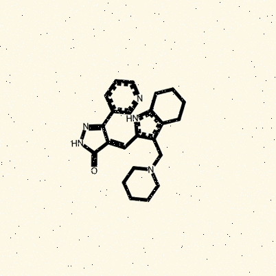 O=C1NN=C(c2cccnc2)/C1=C\c1[nH]c2c(c1CN1CCCCC1)CCCC2